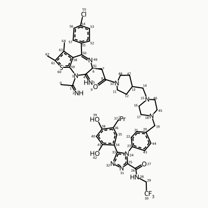 CC(=N)N1C(=N)[C@H](CC(=O)N2CCC(CN3CCN(Cc4ccc(-n5c(C(=O)NCC(F)(F)F)nnc5-c5cc(C(C)C)c(O)cc5O)cc4)CC3)CC2)N=C(c2ccc(Cl)cc2)c2c1sc(C)c2C